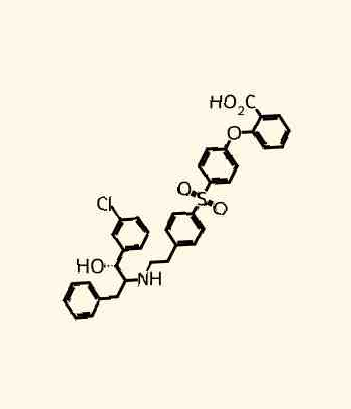 O=C(O)c1ccccc1Oc1ccc(S(=O)(=O)c2ccc(CCNC(Cc3ccccc3)[C@H](O)c3cccc(Cl)c3)cc2)cc1